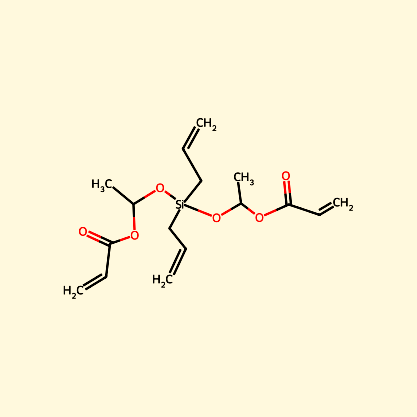 C=CC[Si](CC=C)(OC(C)OC(=O)C=C)OC(C)OC(=O)C=C